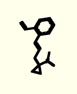 C=Cc1ccccc1/C=C/CC1(N(C)C)CC1